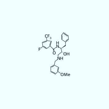 COc1cccc(CNC[C@@H](O)[C@H](Cc2ccccc2)NC(=O)c2cc(F)cc(C(F)(F)F)c2)c1